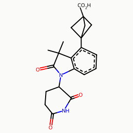 CC1(C)C(=O)N(C2CCC(=O)NC2=O)c2cccc(C34CC(C(=O)O)(C3)C4)c21